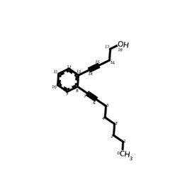 CCCCCCC#Cc1ccccc1C#CCCO